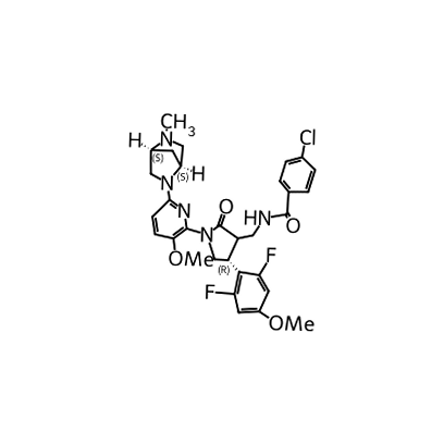 COc1cc(F)c([C@@H]2CN(c3nc(N4C[C@@H]5C[C@H]4CN5C)ccc3OC)C(=O)C2CNC(=O)c2ccc(Cl)cc2)c(F)c1